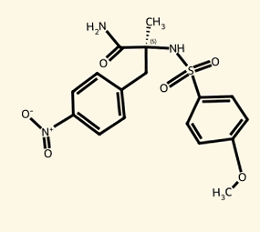 COc1ccc(S(=O)(=O)N[C@@](C)(Cc2ccc([N+](=O)[O-])cc2)C(N)=O)cc1